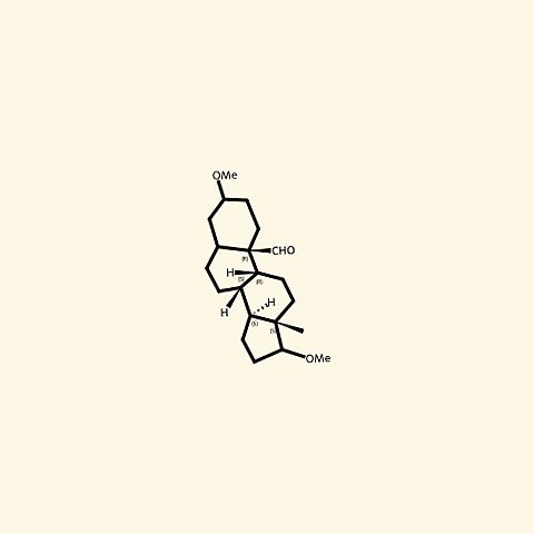 COC1CC[C@@]2(C=O)C(CC[C@@H]3[C@H]2CC[C@]2(C)C(OC)CC[C@@H]32)C1